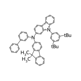 CC(C)(C)c1cc(-n2c3ccccc3c3ccc(N(c4cccc(-c5ccccc5)c4)c4ccc5c(c4)C(C)(C)c4ccccc4-5)cc32)cc(C(C)(C)C)c1